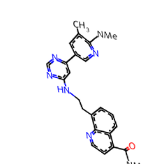 CNC(=O)c1ccnc2c(CCNc3cc(-c4cnc(NC)c(C)c4)ncn3)cccc12